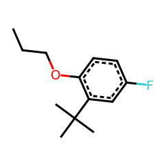 CCCOc1ccc(F)cc1C(C)(C)C